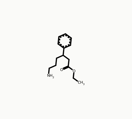 CCOC(=O)CC(CCCN)c1ccccc1